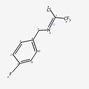 Fc1ccc(C/N=C(\Cl)C(F)(F)F)cc1